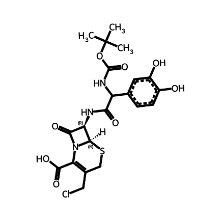 CC(C)(C)OC(=O)NC(C(=O)N[C@@H]1C(=O)N2C(C(=O)O)=C(CCl)CS[C@H]12)c1ccc(O)c(O)c1